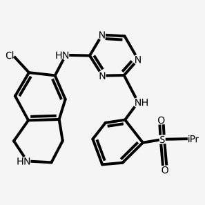 CC(C)S(=O)(=O)c1ccccc1Nc1ncnc(Nc2cc3c(cc2Cl)CNCC3)n1